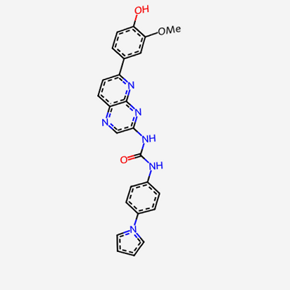 COc1cc(-c2ccc3ncc(NC(=O)Nc4ccc(-n5cccc5)cc4)nc3n2)ccc1O